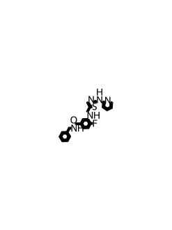 O=C(NCc1ccccc1)c1ccc(F)c(NCc2cnc(Nc3ccccn3)s2)c1